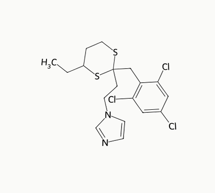 CCC1CCSC(CCn2ccnc2)(Cc2c(Cl)cc(Cl)cc2Cl)S1